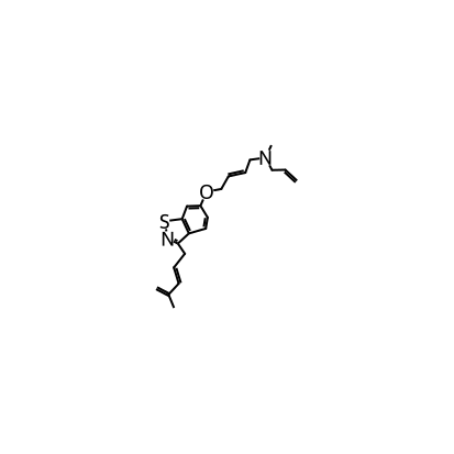 C=CCN(C)CC=CCOc1ccc2c(CC=CC(=C)C)nsc2c1